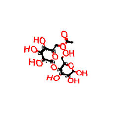 CC(=O)OC[C@H]1O[C@H](O[C@H]2[C@H](O)[C@@H](O)C(O)O[C@@H]2CO)[C@H](O)[C@@H](O)[C@@H]1O